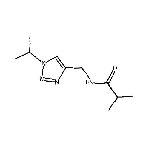 CC(C)C(=O)NCc1cn(C(C)C)nn1